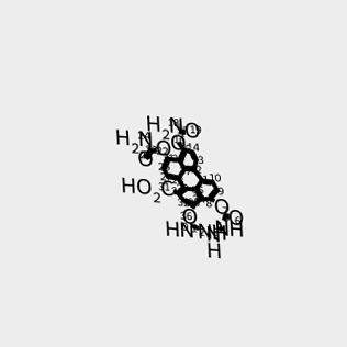 N=C1NNNC(=O)Oc2ccc3c4ccc(OC(N)=O)c5c(OC(N)=O)ccc(c6c(C(=O)O)cc(c2c36)O1)c54